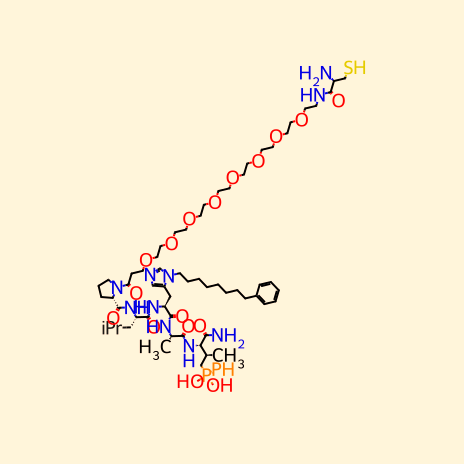 CC(C)C[C@H](NC(=O)[C@@H]1CCCN1C(=O)CCOCCOCCOCCOCCOCCOCCOCCOCCNC(=O)[C@@H](N)CS)C(=O)N[C@@H](Cc1cncn1CCCCCCCCc1ccccc1)C(=O)N[C@@H](C)C(=O)N[C@H](C(N)=O)[C@@H](C)CP(O)(O)=P